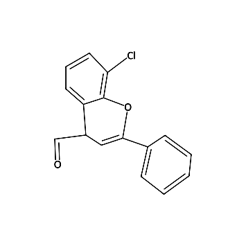 O=CC1C=C(c2ccccc2)Oc2c(Cl)cccc21